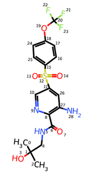 CC(C)(O)CNC(=O)c1ncc(S(=O)(=O)c2ccc(OC(F)(F)F)cc2)cc1N